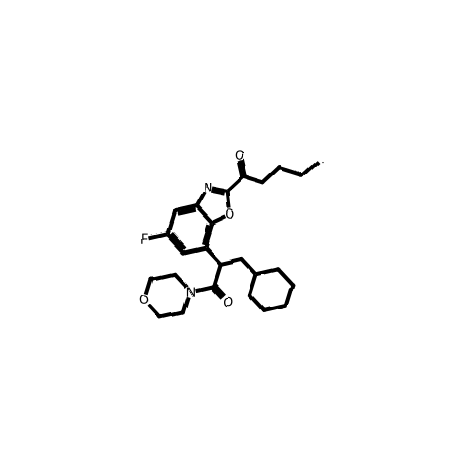 [CH2]CCCC(=O)c1nc2cc(F)cc(C(CC3CCCCC3)C(=O)N3CCOCC3)c2o1